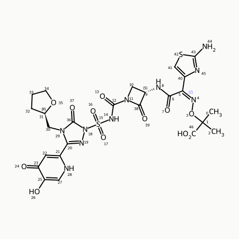 CC(C)(O/N=C(\C(=O)N[C@H]1CN(C(=O)NS(=O)(=O)n2nc(-c3cc(=O)c(O)c[nH]3)n(C[C@H]3CCCO3)c2=O)C1=O)c1csc(N)n1)C(=O)O